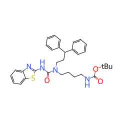 CC(C)(C)OC(=O)NCCCCN(CCC(c1ccccc1)c1ccccc1)C(=O)Nc1nc2ccccc2s1